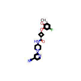 COc1ccc(F)cc1O[C@H]1C[C@H](C(=O)NC2CCN(c3cc(C#N)ccn3)CC2)C1